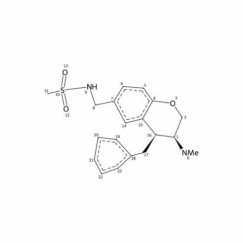 CN[C@@H]1COc2ccc(CNS(C)(=O)=O)cc2[C@@H]1Cc1ccccc1